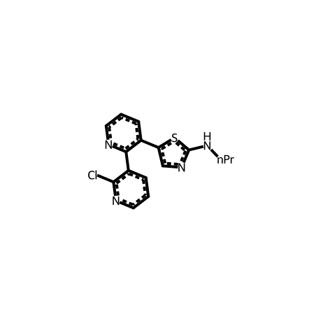 CCCNc1ncc(-c2cccnc2-c2cccnc2Cl)s1